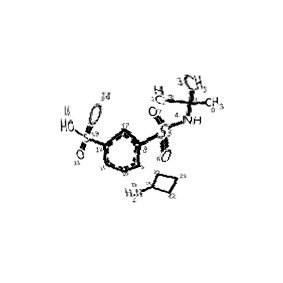 CC(C)(C)NS(=O)(=O)c1cccc(S(=O)(=O)O)c1.NC1CCC1